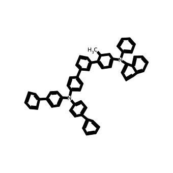 CC1CC(N(c2ccccc2)c2cccc3ccccc23)=CC=C1c1cccc(-c2ccc(N(c3ccc(-c4ccccc4)cc3)c3ccc(-c4ccccc4)cc3)cc2)c1